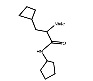 CNC(CC1CCC1)C(=O)NC1CCCC1